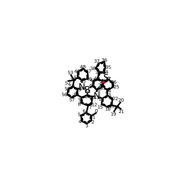 Cc1ccccc1-c1cc2c3c(c1)N(c1ccc(C(C)(C)C)cc1-c1ccccc1)c1cc4sc5ccccc5c4cc1B3N1c3ccccc3C(C)(C)c3cccc-2c31